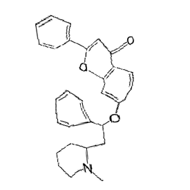 CN1CCCCC1CC(Oc1ccc2c(=O)cc(-c3ccccc3)oc2c1)c1ccccc1